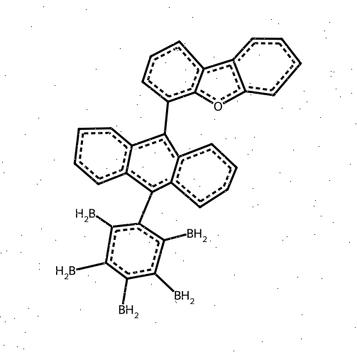 Bc1c(B)c(B)c(-c2c3ccccc3c(-c3cccc4c3oc3ccccc34)c3ccccc23)c(B)c1B